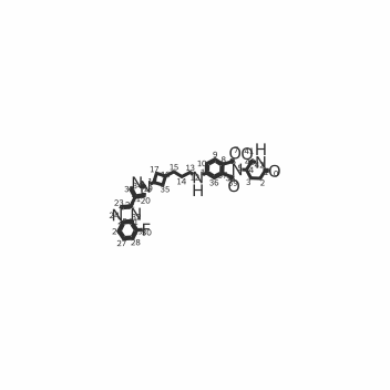 O=C1CCC(N2C(=O)c3ccc(NCCCC4CC(n5cc(-c6cnc7cccc(F)c7n6)cn5)C4)cc3C2=O)C(=O)N1